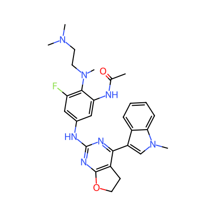 CC(=O)Nc1cc(Nc2nc3c(c(-c4cn(C)c5ccccc45)n2)CCO3)cc(F)c1N(C)CCN(C)C